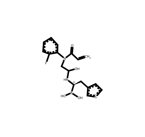 C=CC(=O)N(CC(O)N[C@@H](Cc1ccsc1)B(O)O)c1ccccc1F